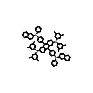 Cc1cc(C)cc(N(c2cc(C)cc(C)c2)c2ccc3c(-c4ccc(N(c5ccccc5)c5ccc6ccccc6c5)cc4)c4cc(N(c5cc(C)cc(C)c5)c5cc(C)cc(C)c5)ccc4c(-c4ccc(N(c5ccccc5)c5ccc6ccccc6c5)cc4)c3c2)c1